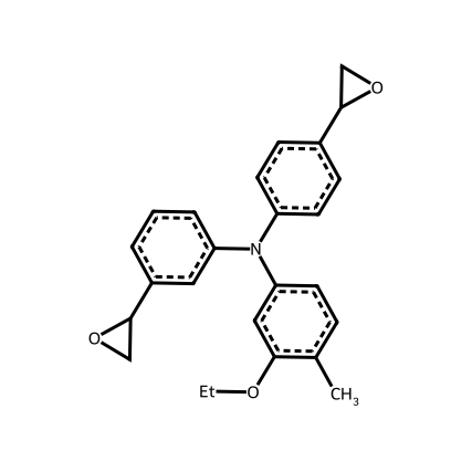 CCOc1cc(N(c2ccc(C3CO3)cc2)c2cccc(C3CO3)c2)ccc1C